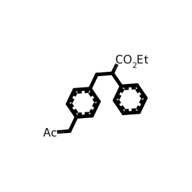 CCOC(=O)C(Cc1ccc(CC(C)=O)cc1)c1ccccc1